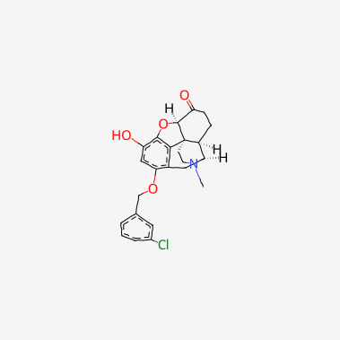 CN1CC[C@]23c4c5c(OCc6cccc(Cl)c6)cc(O)c4O[C@H]2C(=O)CC[C@H]3[C@H]1C5